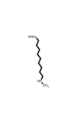 CCCCCCCCCCCCCCCPC